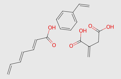 C=C(CC(=O)O)C(=O)O.C=CC=CC=CC(=O)O.C=Cc1ccccc1